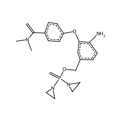 C=C(c1ccc(Oc2cc(COP(=C)(N3CC3)N3CC3)ccc2N)cc1)N(C)C